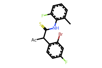 CC(=O)C(C(=S)Nc1c(C)cccc1F)c1ccc(F)cc1Br